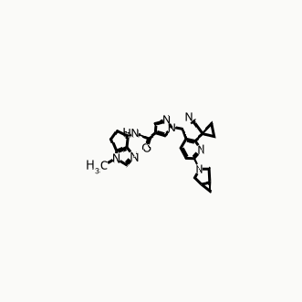 Cn1cnc2c1CC[C@H]2NC(=O)c1cnn(Cc2ccc(N3CC4CC4C3)nc2C2(C#N)CC2)c1